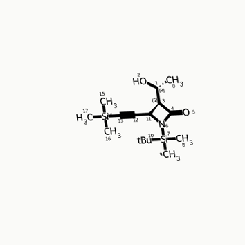 C[C@@H](O)[C@H]1C(=O)N([Si](C)(C)C(C)(C)C)C1C#C[Si](C)(C)C